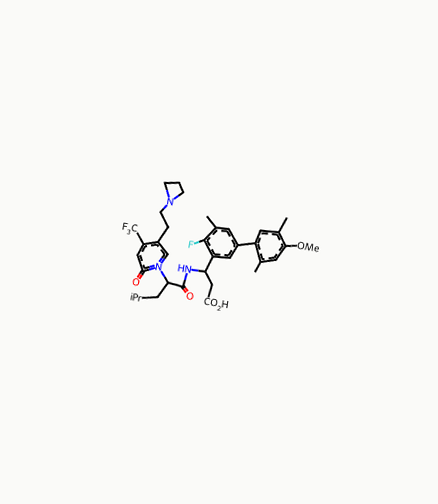 COc1cc(C)c(-c2cc(C)c(F)c(C(CC(=O)O)NC(=O)C(CC(C)C)n3cc(CCN4CCC4)c(C(F)(F)F)cc3=O)c2)cc1C